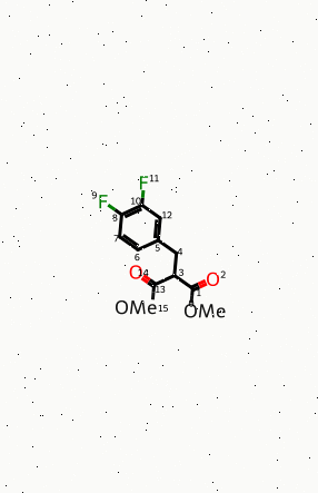 COC(=O)C(Cc1ccc(F)c(F)c1)C(=O)OC